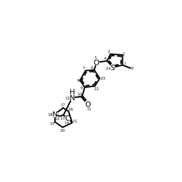 Cc1ccc(Oc2ccc(C(=O)NC3CC4CCN(CC4)C3)cc2)s1